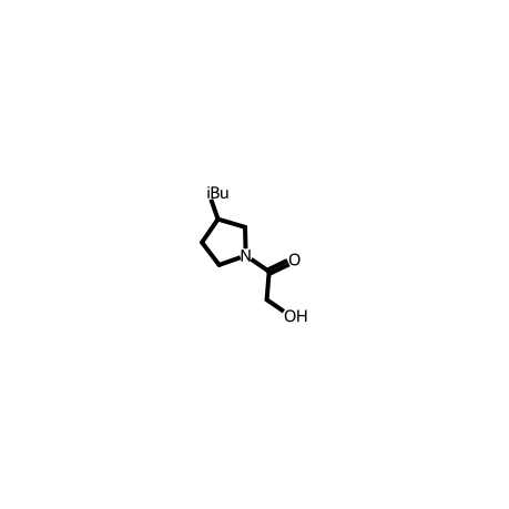 CCC(C)C1CCN(C(=O)CO)C1